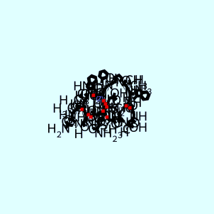 C=C1N[C@H](C(=O)N[C@H](CS)C(=O)N[C@H]2C[C@]3(CSC[C@@H](C(=O)N[C@@H](CSCC(N)=O)C(=O)O)NC(=O)/C(=C/C)NC(=O)[C@H](Cc4ccccc4)NC(=O)[C@@H]4CCCN4C(=O)[C@H](C(C)C)NC(=O)[C@H](Cc4c[nH]c5ccccc45)NC3=O)NC(=O)CNC(=O)[C@H]([C@@H](C)O)NC2=O)CSC[C@]2(C[C@H](N)C(=O)N[C@@H](CC(N)=O)C(=O)N[C@@H](C)C(=O)N2)C(=O)N[C@@H](C(C)C)C(=O)N[C@@H](Cc2c[nH]c3ccccc23)C(=O)N[C@H]1CCC(=O)O